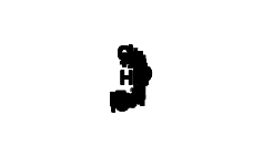 C=C(CCn1cnc([C@H]2C[C@H](OC(F)(F)F)C2)c1)NC(=O)COc1ccc(Cl)c(F)c1